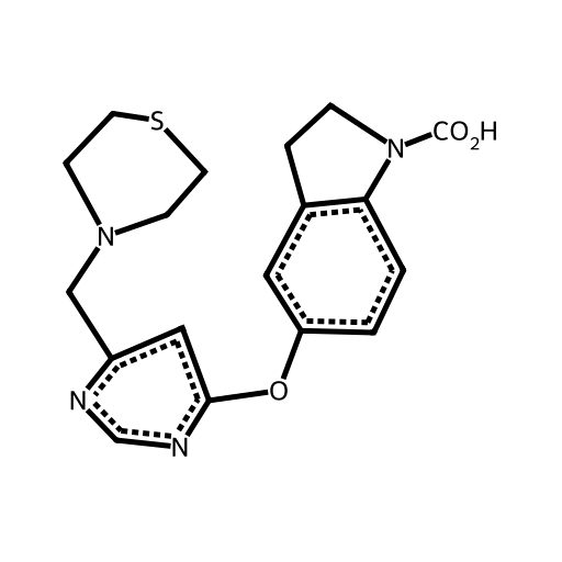 O=C(O)N1CCc2cc(Oc3cc(CN4CCSCC4)ncn3)ccc21